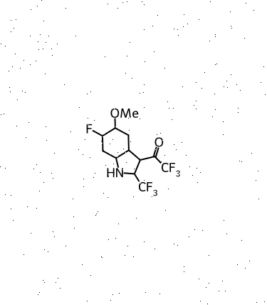 COC1CC2C(CC1F)NC(C(F)(F)F)C2C(=O)C(F)(F)F